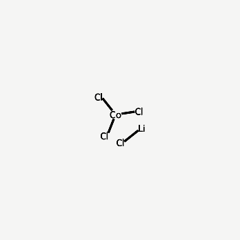 [Cl][Co]([Cl])[Cl].[Li][Cl]